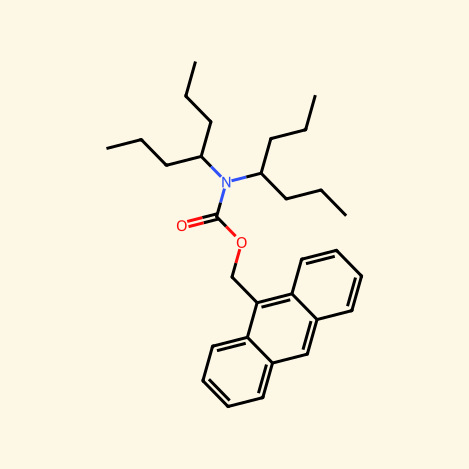 CCCC(CCC)N(C(=O)OCc1c2ccccc2cc2ccccc12)C(CCC)CCC